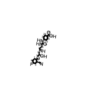 N#Cc1cc(F)ccc1OCC(O)CNCCNC(=O)Nc1ccc(C(=O)O)cc1